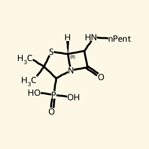 CCCCCNC1C(=O)N2C(P(=O)(O)O)C(C)(C)S[C@H]12